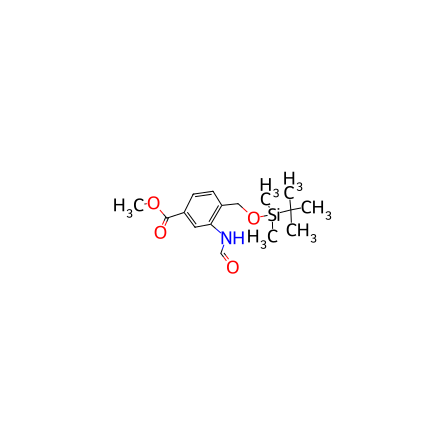 COC(=O)c1ccc(CO[Si](C)(C)C(C)(C)C)c(NC=O)c1